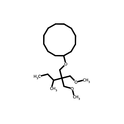 CCC(C)C(COC)(COC)COC1CCCCCCCCCCC1